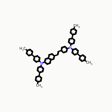 Cc1ccc(-c2ccc(N(c3ccc(/C=C/c4ccc5cc(N(c6ccc(-c7ccc(C)cc7)cc6)c6ccc(-c7ccc(C)cc7)cc6)ccc5c4)cc3)c3ccc(-c4ccc(C)cc4)cc3)cc2)cc1